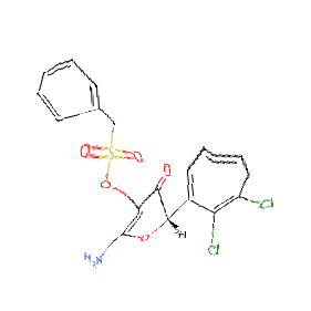 [2H][C@@]1(c2cccc(Cl)c2Cl)OC(N)=C(OS(=O)(=O)Cc2ccccc2)C1=O